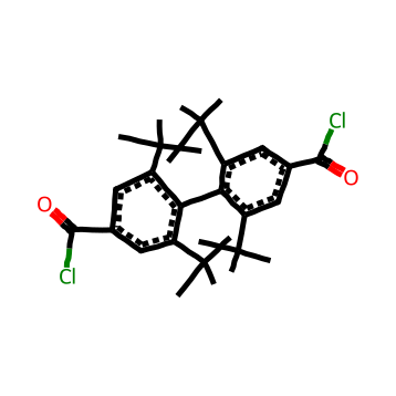 CC(C)(C)c1cc(C(=O)Cl)cc(C(C)(C)C)c1-c1c(C(C)(C)C)cc(C(=O)Cl)cc1C(C)(C)C